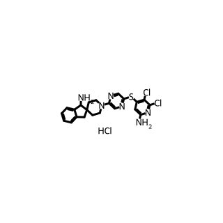 Cl.Nc1cc(Sc2cnc(N3CCC4(CC3)Cc3ccccc3C4N)cn2)c(Cl)c(Cl)n1